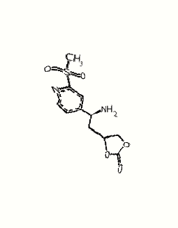 CS(=O)(=O)c1cc([C@@H](N)CC2COC(=O)O2)ccn1